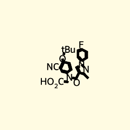 Cc1nn(-c2ccc(F)cc2)cc1C(=O)N(CC(=O)O)c1ccc(OCC(C)(C)C)c(C#N)c1